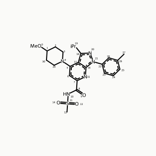 COC1CCN(c2cc(C(=O)NS(C)(=O)=O)nc3c2c(C(C)C)nn3-c2cccc(C)c2)CC1